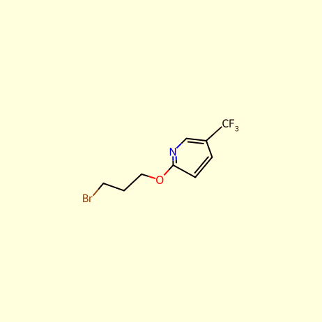 FC(F)(F)c1ccc(OCCCBr)nc1